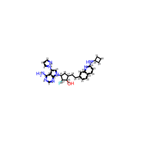 Nc1ncnc2c1c(-n1cccn1)cn2C1CC(CCc2ccc3ccc(NC4CCC4)nc3c2)C(O)C1F